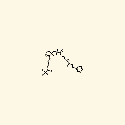 CCC(C)(CC(C)(C)C(=O)OCCOC(=O)/C=C/c1ccccc1)C(=O)OCCOC(=O)C(F)(F)F